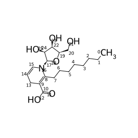 CCCCCCCCC1=C(C(=O)O)CC=CN1[C@@H]1O[C@H](CO)[C@H](O)[C@@H]1O